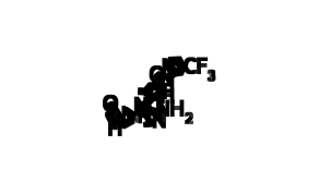 Cc1cc(C(=O)Nc2cc(C(F)(F)F)ccn2)c(F)cc1-c1nc([C@@H]2CC[C@H]3CCC(=O)N3C2)n2ccnc(N)c12